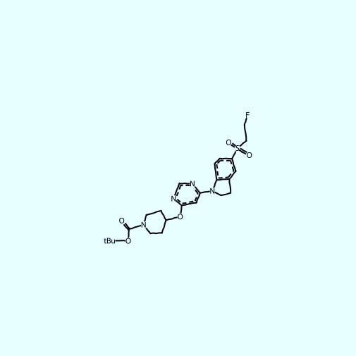 CC(C)(C)OC(=O)N1CCC(Oc2cc(N3CCc4cc(S(=O)(=O)CCF)ccc43)ncn2)CC1